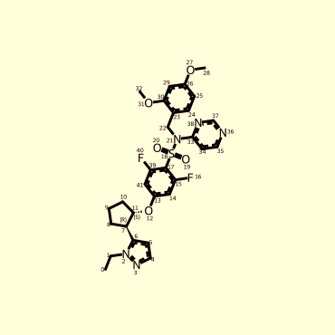 CCn1nccc1[C@H]1CCC[C@@H]1Oc1cc(F)c(S(=O)(=O)N(Cc2ccc(OC)cc2OC)c2ccncn2)c(F)c1